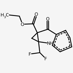 CCOC(=O)C1(C(=O)c2ccccc2)CC1(N)C(F)F